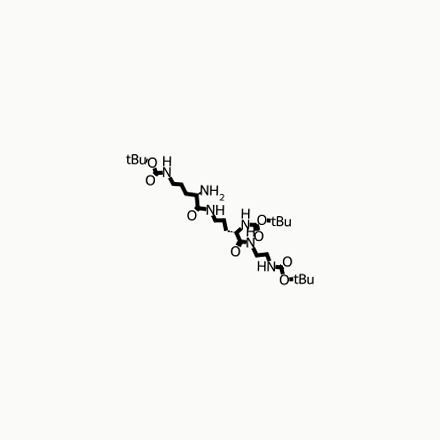 CC(C)(C)OC(=O)NCCC[C@H](N)C(=O)NCCC[C@H](NC(=O)OC(C)(C)C)C(=O)NCCNC(=O)OC(C)(C)C